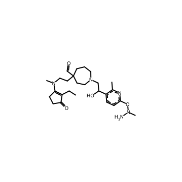 CCC1=C(N(C)CCC2(C=O)CCCN(CC(O)c3ccc(ON(C)N)nc3C)CC2)CCC1=O